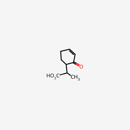 CC(C(=O)O)C1CCC=CC1=O